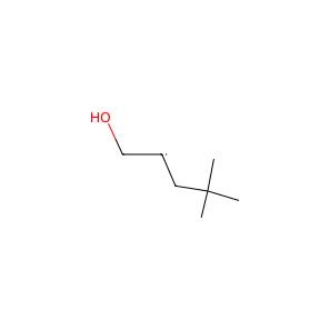 CC(C)(C)C[CH]CO